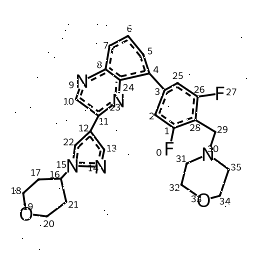 Fc1cc(-c2cccc3ncc(-c4cnn(C5CCOCC5)c4)nc23)cc(F)c1CN1CCOCC1